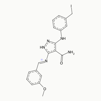 COc1cccc(/C=N/c2[nH]nc(Nc3cccc(CI)c3)c2C(N)=O)c1